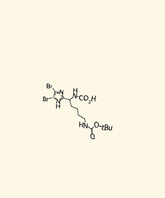 CC(C)(C)OC(=O)NCCCCC(NC(=O)O)c1nc(Br)c(Br)[nH]1